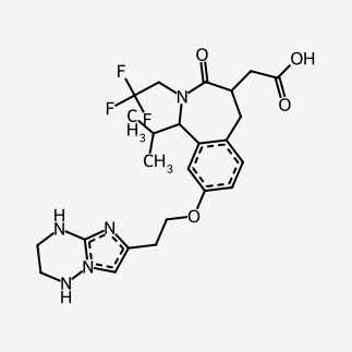 CC(C)C1c2cc(OCCc3cn4c(n3)NCCN4)ccc2CC(CC(=O)O)C(=O)N1CC(F)(F)F